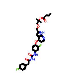 C/C=C/C(=O)OC(C)(C)COCc1cc2c(Oc3ccc(NC(=O)NC(=O)Cc4ccc(F)cc4)cc3F)ccnc2[nH]1